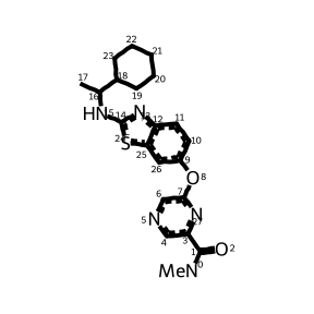 CNC(=O)c1cncc(Oc2ccc3nc(NC(C)C4CCCCC4)sc3c2)n1